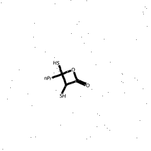 CCCC1(S)OC(=O)C1S